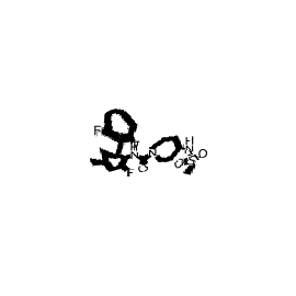 CCS(=O)(=O)N[C@H]1CCCN(C(=O)Nc2c(F)cc(C)cc2-c2c(F)cccc2F)CC1